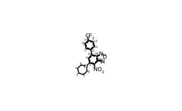 O=[N+]([O-])c1c(N2CCCCC2)cc(-c2ccc(C(F)(F)F)cc2)c2nonc12